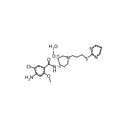 COc1cc(N)c(Cl)cc1C(=O)N[C@H]1CCN(CCCSc2ncccn2)C[C@H]1OC.O